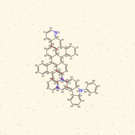 c1ccc(N(c2ccc3c(-c4ccccc4-c4ccc5cccnc5c4)c4ccccc4c(-c4ccccc4-c4ccc5cccnc5c4)c3c2)c2ccc3c(c2)c2ccccc2n3-c2ccccc2)cc1